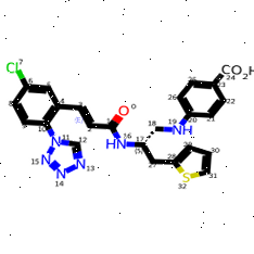 O=C(/C=C/c1cc(Cl)ccc1-n1cnnn1)N[C@H](CNc1ccc(C(=O)O)cc1)Cc1cccs1